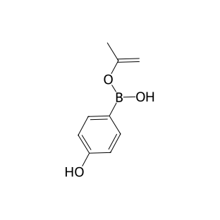 C=C(C)OB(O)c1ccc(O)cc1